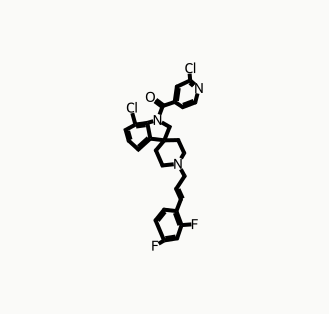 O=C(c1ccnc(Cl)c1)N1CC2(CCN(C/C=C/c3ccc(F)cc3F)CC2)c2cccc(Cl)c21